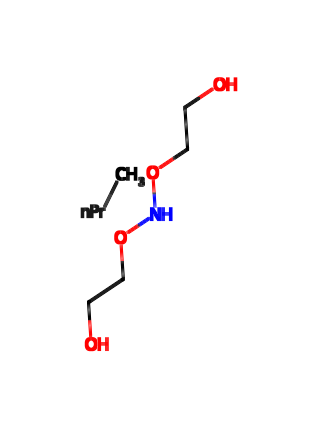 CCCC.OCCONOCCO